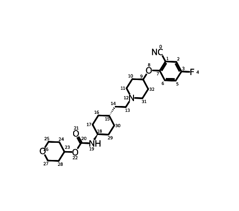 N#Cc1cc(F)ccc1OC1CCN(CC[C@H]2CC[C@H](NC(=O)OC3CCOCC3)CC2)CC1